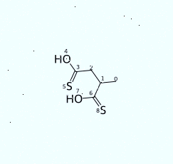 CC(CC(O)=S)C(O)=S